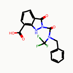 O=C(O)c1cccc2c(=O)n(C(=O)N(Cc3ccccc3)C(F)(F)F)[nH]c12